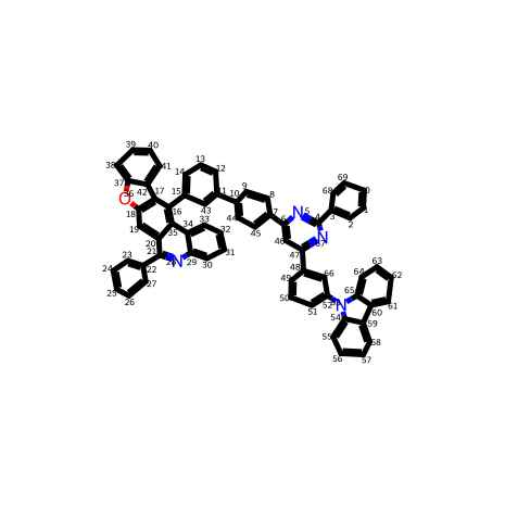 c1ccc(-c2nc(-c3ccc(-c4cccc(-c5c6c(cc7c(-c8ccccc8)nc8ccccc8c57)oc5ccccc56)c4)cc3)cc(-c3cccc(-n4c5ccccc5c5ccccc54)c3)n2)cc1